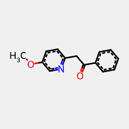 COc1ccc(CC(=O)c2ccccc2)nc1